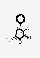 CCN1C(=O)[C@@H](N)C[C@@H](c2ccccc2)[C@H]1C